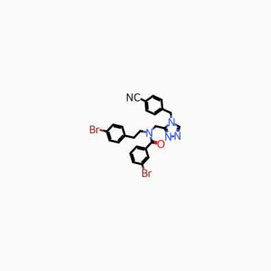 N#Cc1ccc(Cn2cnnc2CN(CCc2ccc(Br)cc2)C(=O)c2cccc(Br)c2)cc1